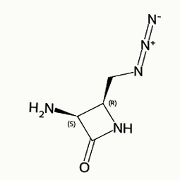 [N-]=[N+]=NC[C@H]1NC(=O)[C@H]1N